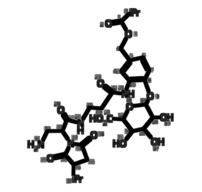 CC(C)C(=O)OCc1ccc(OC2OC(C(=O)O)C(O)C(O)C2O)c(NC(=O)CCNC(=O)C(CN)N2C(=O)CC(C(C)C)C2=O)c1